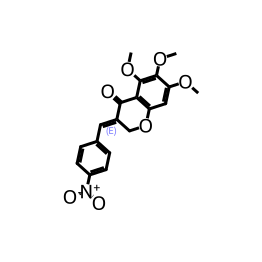 COc1cc2c(c(OC)c1OC)C(=O)/C(=C/c1ccc([N+](=O)[O-])cc1)CO2